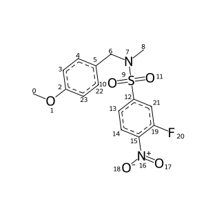 COc1ccc(CN(C)S(=O)(=O)c2ccc([N+](=O)[O-])c(F)c2)cc1